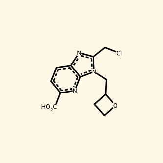 O=C(O)c1ccc2nc(CCl)n(CC3CCO3)c2n1